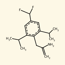 C=C(N)Cc1c(C(C)C)cc(C(F)F)cc1C(C)C